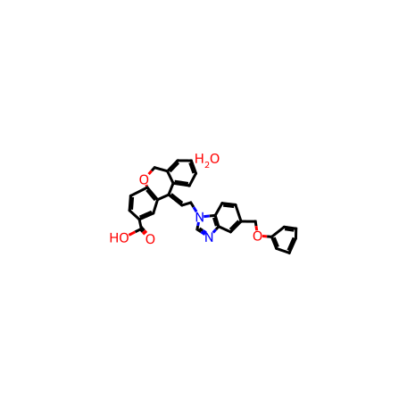 O.O=C(O)c1ccc2c(c1)/C(=C/Cn1cnc3cc(COc4ccccc4)ccc31)c1ccccc1CO2